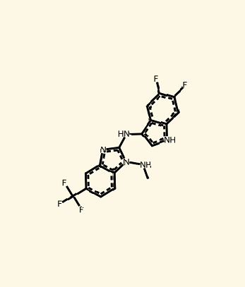 CNn1c(Nc2c[nH]c3cc(F)c(F)cc23)nc2cc(C(F)(F)F)ccc21